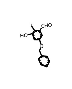 O=Cc1cc(OCc2ccccc2)cc(O)c1I